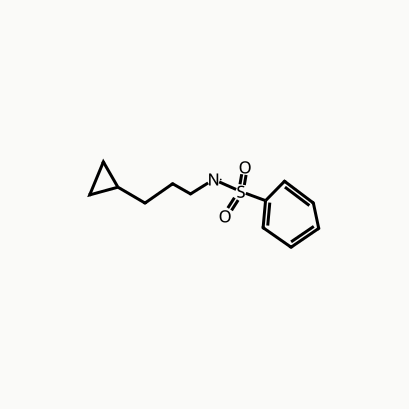 O=S(=O)([N]CCCC1CC1)c1ccccc1